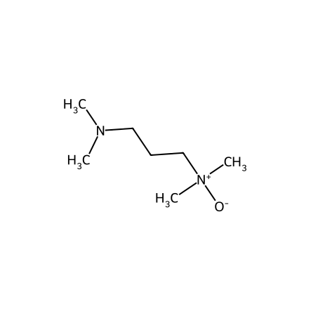 CN(C)CCC[N+](C)(C)[O-]